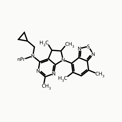 CCCN(CC1CC1)c1nc(C)nc2c1C(C)C(C)N2c1c(C)cc(C)c2nsnc12